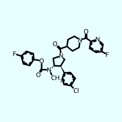 CN(C(=O)Oc1ccc(F)cc1)[C@@H]1CN(C(=O)C2CCN(C(=O)c3ccc(F)cn3)CC2)C[C@H]1c1ccc(Cl)cc1